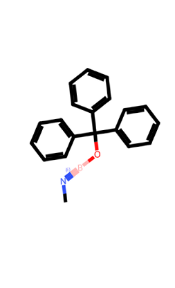 C/N=B/OC(c1ccccc1)(c1ccccc1)c1ccccc1